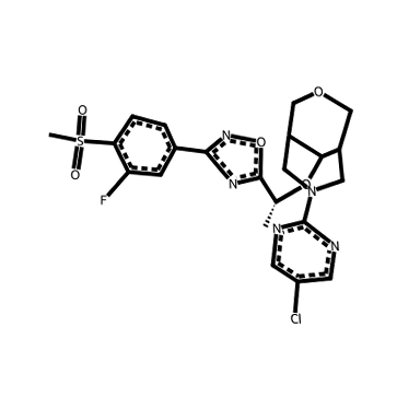 C[C@@H](OC1C2COCC1CN(c1ncc(Cl)cn1)C2)c1nc(-c2ccc(S(C)(=O)=O)c(F)c2)no1